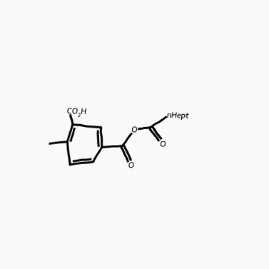 CCCCCCCC(=O)OC(=O)c1ccc(C)c(C(=O)O)c1